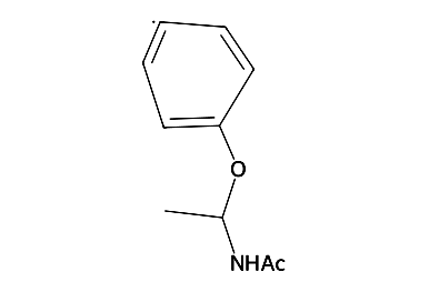 CC(=O)NC(C)Oc1cc[c]cc1